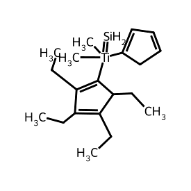 CCC1=C(CC)C(CC)[C]([Ti]([CH3])([CH3])(=[SiH2])[C]2=CC=CC2)=C1CC